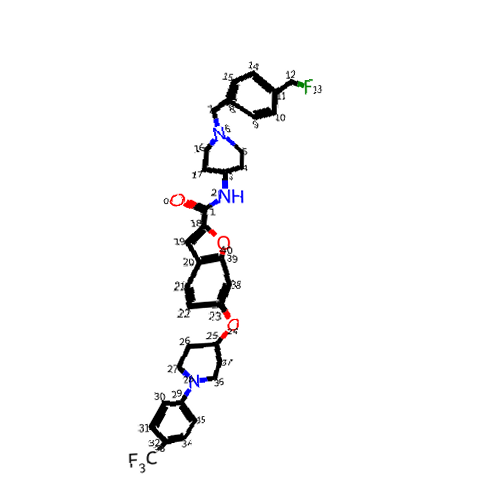 O=C(NC1CCN(Cc2ccc(CF)cc2)CC1)c1cc2ccc(OC3CCN(c4ccc(C(F)(F)F)cc4)CC3)cc2o1